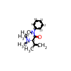 C=C(C)[C@@H](C(=O)N(C)c1ccccc1)N(C)C